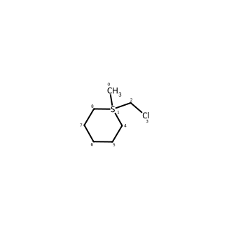 CS1(CCl)CCCCC1